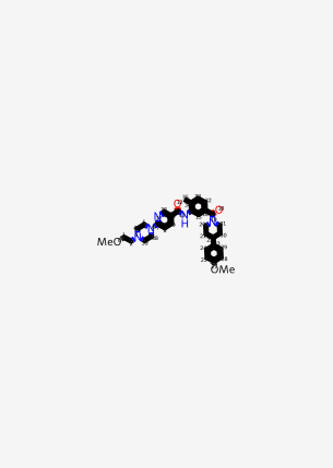 COCCN1CCN(c2ccc(C(=O)Nc3cc(C(=O)N4CCC(c5ccc(OC)cc5)CC4)ccc3C)cn2)CC1